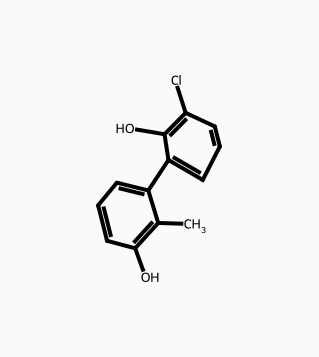 Cc1c(O)cccc1-c1cccc(Cl)c1O